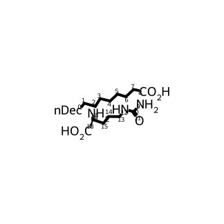 CCCCCCCCCCCCCCCCCC(=O)O.NC(=O)NCCC[C@H](N)C(=O)O